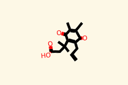 C=CCC1=C(C(C)(C)CC(=O)O)C(=O)C(C)=C(C)C1=O